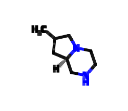 CC1C[C@@H]2CNCCN2C1